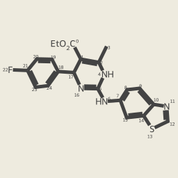 CCOC(=O)C1=C(C)NC(Nc2ccc3ncsc3c2)=NC1c1ccc(F)cc1